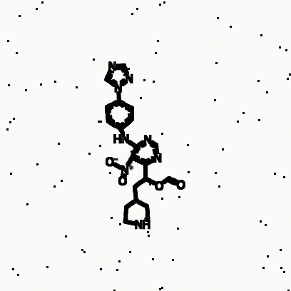 O=COC(CC1CCNCC1)c1ncnc(Nc2ccc(-n3cncn3)cc2)c1[N+](=O)[O-]